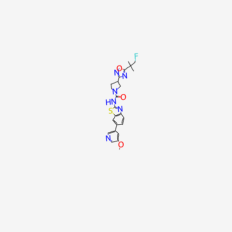 COc1cncc(-c2ccc3nc(NC(=O)N4CCC(c5noc(C(C)(C)CF)n5)C4)sc3c2)c1